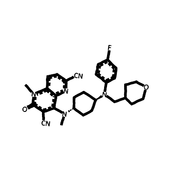 Cn1c(=O)c(C#N)c(N(C)[C@H]2CC[C@H](N(CC3CCOCC3)c3ccc(F)cc3)CC2)c2nc(C#N)ccc21